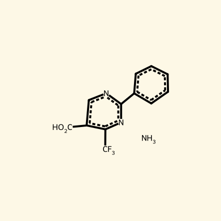 N.O=C(O)c1cnc(-c2ccccc2)nc1C(F)(F)F